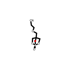 N#CCCOCC12COP(=O)(OC1)OC2